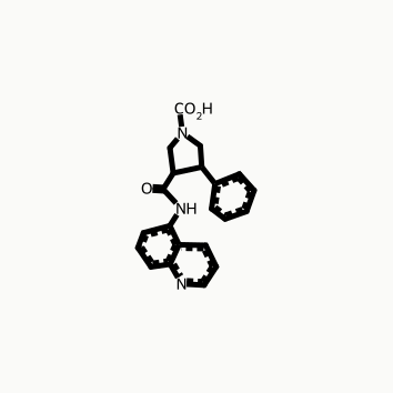 O=C(Nc1cccc2ncccc12)C1CN(C(=O)O)CC1c1ccccc1